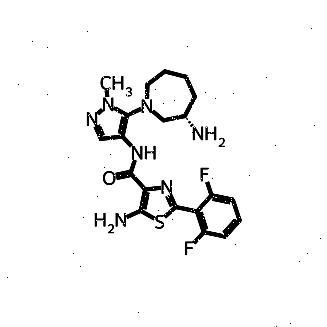 Cn1ncc(NC(=O)c2nc(-c3c(F)cccc3F)sc2N)c1N1CCCC[C@H](N)C1